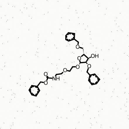 O=C(NCCOCCO[C@@H]1O[C@H](COCc2ccccc2)[C@@H](O)[C@H]1OCc1ccccc1)OCc1ccccc1